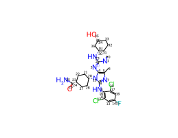 C=N/C(=N\c1c(C)nc(Nc2c(Cl)cc(F)cc2Cl)n1[C@H]1CC[C@@H](C(N)=O)CC1)N[C@H]1CCC[C@@H](O)C1